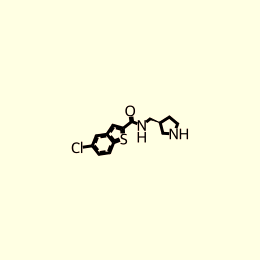 O=C(NC[C@H]1CCNC1)c1cc2cc(Cl)ccc2s1